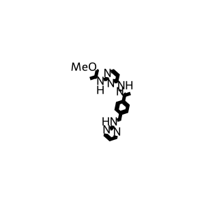 COCC(C)Nc1nccc(N/N=C(\C)c2ccc(CNc3ncccn3)cc2)n1